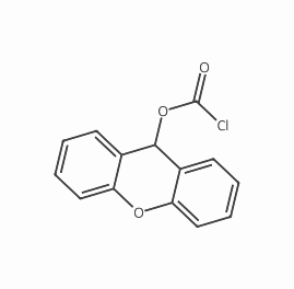 O=C(Cl)OC1c2ccccc2Oc2ccccc21